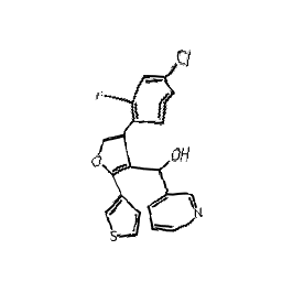 OC(C1=C(c2ccsc2)OCC1c1ccc(Cl)cc1F)c1cccnc1